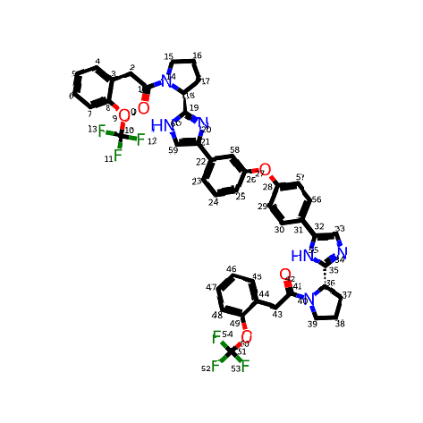 O=C(Cc1ccccc1OC(F)(F)F)N1CCC[C@H]1c1nc(-c2cccc(Oc3ccc(-c4cnc([C@@H]5CCCN5C(=O)Cc5ccccc5OC(F)(F)F)[nH]4)cc3)c2)c[nH]1